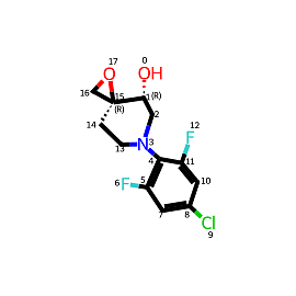 O[C@@H]1CN(c2c(F)cc(Cl)cc2F)CC[C@@]12CO2